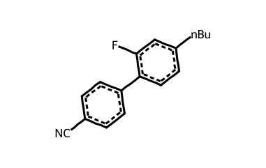 CCCCc1ccc(-c2ccc(C#N)cc2)c(F)c1